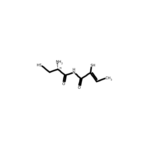 CC=C(S)C(=O)NC(=O)[C@@H](N)CS